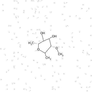 CO[C@@H]1C(C)O[C@H](C)C(O)C1O